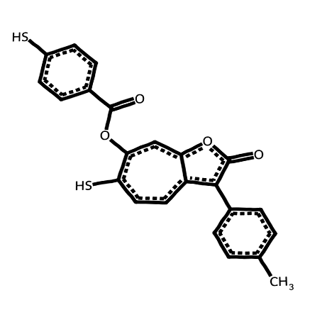 Cc1ccc(-c2c3ccc(S)c(OC(=O)c4ccc(S)cc4)cc-3oc2=O)cc1